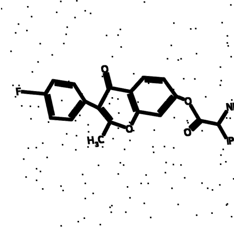 Cc1oc2cc(OC(=O)C(N)C(C)C)ccc2c(=O)c1-c1ccc(F)cc1